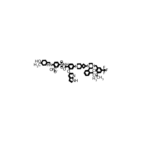 COc1cc(CN2CCN(C3CC4(CCN(c5ccc(C(=O)NS(=O)(=O)c6ccc(NCC7CCC(C)(O)CC7)c([N+](=O)[O-])c6)c(Oc6cnc7[nH]ccc7c6)c5)CC4)C3)C(c3ccccc3C(C)C)C2)cc(C(F)(F)F)c1